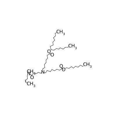 C/C=C\CCN(C)C(=O)CCCCN(CCCCCCCC(=O)OCCCCCCCCC)CCCCCCCC(=O)OC(CCCCCCCC)CCCCCCCC